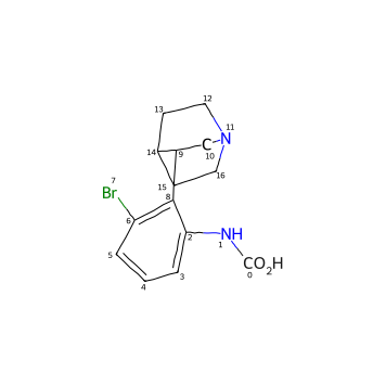 O=C(O)Nc1cccc(Br)c1C1CN2CCC1CC2